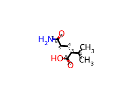 CC(C)[C@@H](CCC(N)=O)C(=O)O